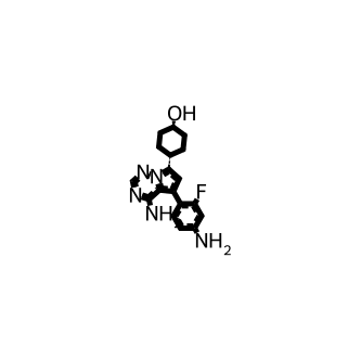 Nc1ccc(-c2cc([C@H]3CC[C@H](O)CC3)n3ncnc(N)c23)c(F)c1